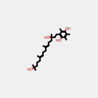 C/C(=C\CCC(C)(O)CCc1c(C)c(O)c(C)c(C)c1O)CC/C=C(\C)CCCC(C)(C)O